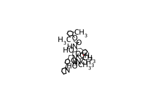 Cc1cccc(C)c1OCC(=O)N[C@@H](Cc1ccccc1)C[C@@H](O)[C@H](Cc1ccc(-c2ccccn2)cc1)NC(=O)[C@@H](N(C)C(=O)O)C(C)(C)C